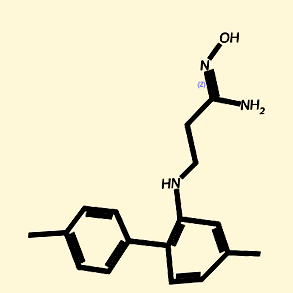 Cc1ccc(-c2ccc(C)cc2NCC/C(N)=N/O)cc1